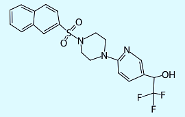 O=S(=O)(c1ccc2ccccc2c1)N1CCN(c2ccc(C(O)C(F)(F)F)cn2)CC1